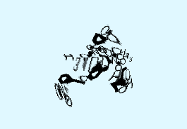 CC(C)CN(C[C@H]1OC(C)(C)N(C(=O)O[C@H]2CO[C@H]3OCC[C@H]32)[C@H]1Cc1ccc(OCc2cccc([N+](=O)[O-])c2)cc1)S(=O)(=O)c1ccc2c(c1)OCO2